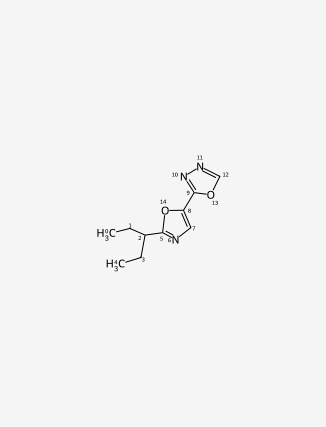 CCC(CC)c1ncc(-c2nnco2)o1